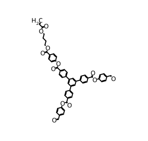 C=CC(=O)OCCCCOC(=O)c1ccc(OC(=O)c2ccc(-c3cc(-c4ccc(C(=O)Oc5ccc(C=O)cc5)cc4)cc(-c4ccc(C(=O)Oc5ccc(C=O)cc5)cc4)c3)cc2)cc1